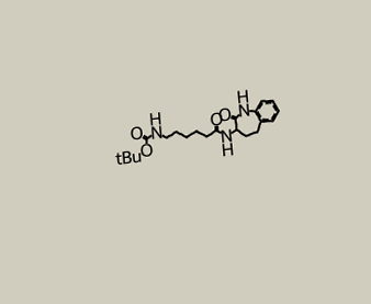 CC(C)(C)OC(=O)NCCCCCC(=O)NC1CCc2ccccc2NC1=O